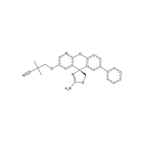 CC(C)(C#N)COc1cnc2c(c1)[C@]1(COC(N)=N1)c1cc(-c3ccccc3)ccc1O2